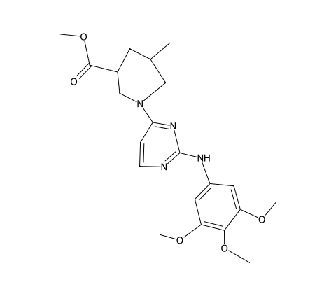 COC(=O)C1CC(C)CN(c2ccnc(Nc3cc(OC)c(OC)c(OC)c3)n2)C1